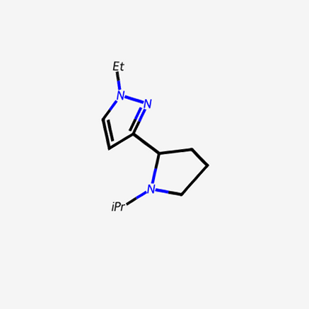 CCn1ccc(C2CCCN2C(C)C)n1